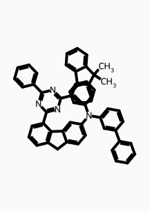 CC1(C)c2ccccc2-c2ccc(N(c3cccc(-c4ccccc4)c3)c3ccc4c(c3)-c3c(cccc3-c3nc(-c5ccccc5)nc(-c5ccccc5)n3)C4)cc21